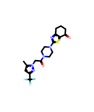 Cc1cc(C(F)(F)F)nn1CC(=O)N1CCN(c2nc3c(s2)C(=O)CCC3)CC1